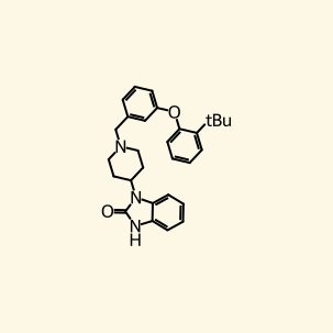 CC(C)(C)c1ccccc1Oc1cccc(CN2CCC(n3c(=O)[nH]c4ccccc43)CC2)c1